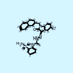 NS(=O)(=O)c1ccccc1NC(=S)NN=C1C(=O)N(Cc2ccc3ccccc3c2)c2ccc(Cl)cc21